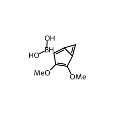 COc1cc2cc-2c1OC.OBO